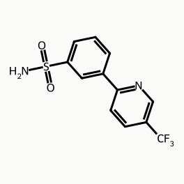 NS(=O)(=O)c1cccc(-c2ccc(C(F)(F)F)cn2)c1